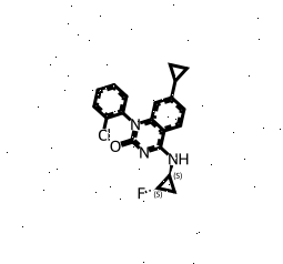 O=c1nc(N[C@H]2C[C@@H]2F)c2ccc(C3CC3)cc2n1-c1ccccc1Cl